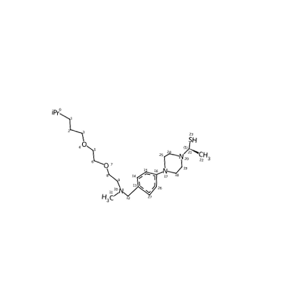 CC(C)CCCOCCOCCN(C)Cc1ccc(N2CCN([C@H](C)S)CC2)cc1